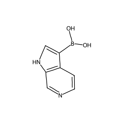 OB(O)c1c[nH]c2cnccc12